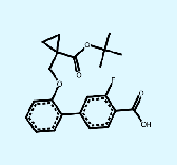 CC(C)(C)OC(=O)C1(COc2ccccc2-c2ccc(C(=O)O)c(F)c2)CC1